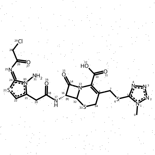 Cn1nnnc1SCC1=C(C(=O)O)N2C(=O)[C@@H](NC(=O)Cc3csc(=NC(=O)CCl)n3N)C2SC1